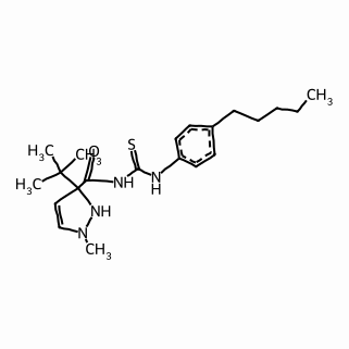 CCCCCc1ccc(NC(=S)NC(=O)C2(C(C)(C)C)C=CN(C)N2)cc1